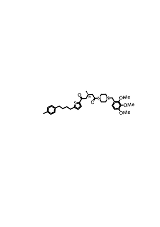 COc1ccc(CN2CCN(C(=O)C[C@H](C)CC(=O)c3ccc(CCCCc4ccc(C)cc4)s3)CC2)c(OC)c1OC